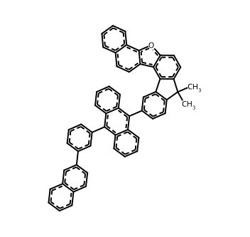 CC1(C)c2ccc(-c3c4ccccc4c(-c4cccc(-c5ccc6ccccc6c5)c4)c4ccccc34)cc2-c2c1ccc1oc3c4ccccc4ccc3c21